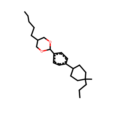 CCCCCC1COC(c2ccc(C3CCC(C)(CCC)CC3)cc2)OC1